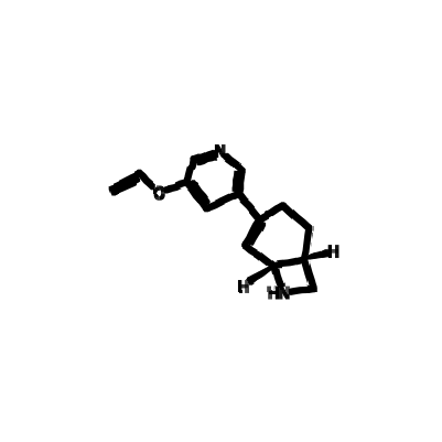 C=COc1cncc(C2=C[C@H]3NC[C@H]3CC2)c1